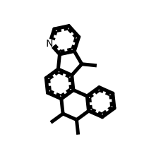 CC1c2cccnc2-c2ccc3c(c21)-c1ccccc1C(C)C3C